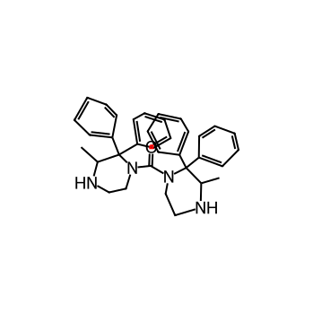 CC1NCCN(C(=O)N2CCNC(C)C2(c2ccccc2)c2ccccc2)C1(c1ccccc1)c1ccccc1